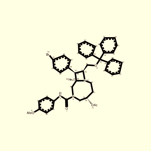 COc1ccc(NC(=O)N2C[C@@H](OC(C)=O)CCN3[C@H](COC(c4ccccc4)(c4ccccc4)c4ccccc4)[C@H](c4ccc(Br)cc4)[C@@H]3C2)cc1